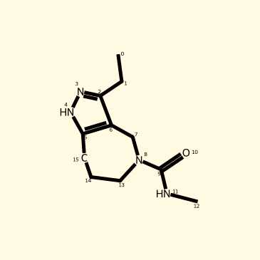 CCc1n[nH]c2c1CN(C(=O)NC)CCC2